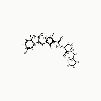 Cc1[nH]c(/C=C2\C(=O)Nc3ccc(F)cc32)c(C)c1C(=O)NC1CON(C[C@H]2CCCO2)C1=O